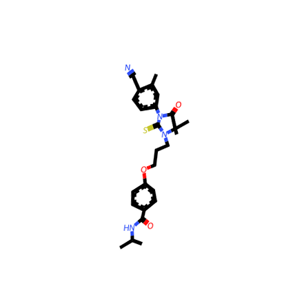 Cc1cc(N2C(=O)C(C)(C)N(CCCOc3ccc(C(=O)NC(C)C)cc3)C2=S)ccc1C#N